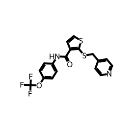 O=C(Nc1ccc(OC(F)(F)F)cc1)c1ccsc1SCc1ccncc1